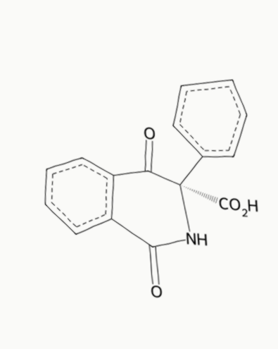 O=C1N[C@](C(=O)O)(c2ccccc2)C(=O)c2ccccc21